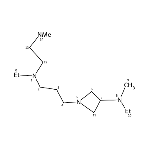 CCN(CCCN1CC(N(C)CC)C1)CCNC